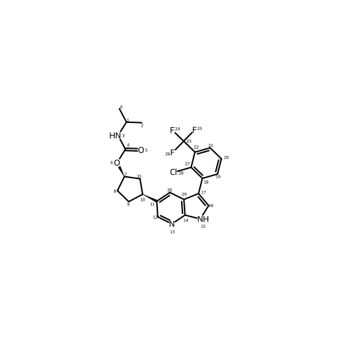 CC(C)NC(=O)O[C@@H]1CC[C@H](c2cnc3[nH]cc(-c4cccc(C(F)(F)F)c4Cl)c3c2)C1